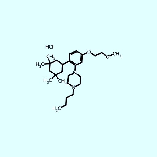 CCCCN1CCN(c2cc(OCCOC)ccc2C2CC(C)(C)CC(C)(C)C2)CC1.Cl